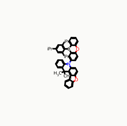 CC(C)c1cc(C(C)C)c(B2c3ccccc3Oc3ccc(N4c5ccccc5C(C)(C)c5c4ccc4oc6ccccc6c54)cc32)c(C(C)C)c1